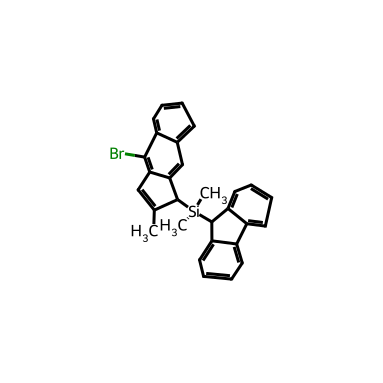 CC1=Cc2c(cc3ccccc3c2Br)C1[Si](C)(C)C1c2ccccc2-c2ccccc21